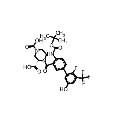 CC(C)(C)OC(=O)Nc1ccc(-c2cc(O)cc(C(F)(F)F)c2F)cc1C(=O)N1CCN(C(=O)O)C[C@H]1C(=O)O